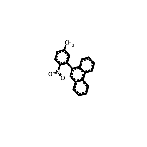 Cc1ccc([N+](=O)[O-])c(-c2cc3ccccc3c3ccccc23)c1